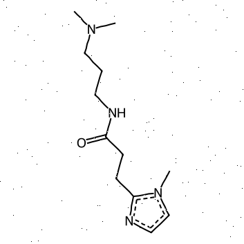 CN(C)CCCNC(=O)CCc1nccn1C